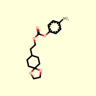 O=C(OCCC1CCC2(CC1)OCCO2)Oc1ccc([N+](=O)[O-])cc1